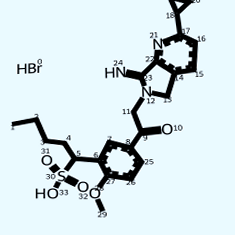 Br.CCCCC(c1cc(C(=O)CN2Cc3ccc(C4CC4)nc3C2=N)ccc1OC)S(=O)(=O)O